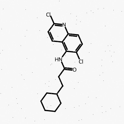 O=C(CCC1CCCCC1)Nc1c(Cl)ccc2nc(Cl)ccc12